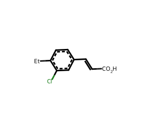 CCc1ccc(C=CC(=O)O)cc1Cl